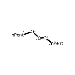 CCCCCOOOCCCCC